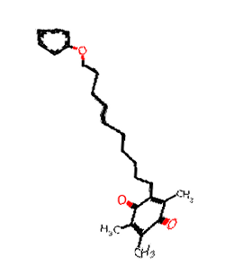 CC1=C(C)C(=O)C(CCCCCCCCCCOc2ccccc2)=C(C)C1=O